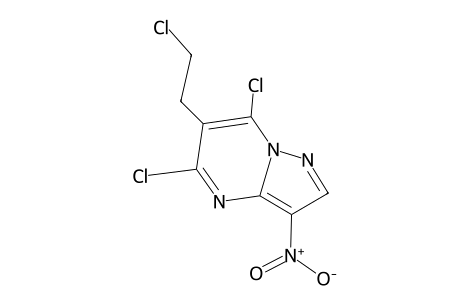 O=[N+]([O-])c1cnn2c(Cl)c(CCCl)c(Cl)nc12